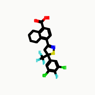 O=C(O)c1ccc(C2=NSC(c3cc(Cl)c(F)c(Cl)c3)(C(F)(F)F)C2)c2c1CCCC2